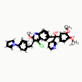 COc1ccc(C(O)(c2cccnc2)c2ccc3nc(OC)c(Cc4ccc(-n5cccc5)cc4)c(Cl)c3c2)cc1OC